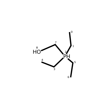 CC[PH](CC)(CC)CO